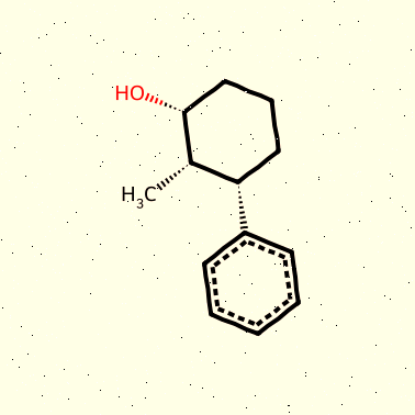 C[C@@H]1[C@H](O)CCC[C@@H]1c1ccccc1